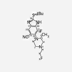 CC1CN(CCF)CCN1c1c(C#N)cc2nc(SC(C)(C)C)[nH]c2c1F